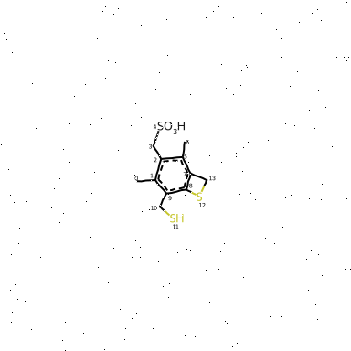 Cc1c(CS(=O)(=O)O)c(C)c2c(c1CS)SC2